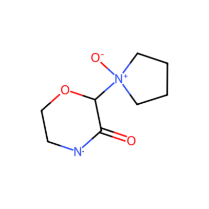 O=C1[N]CCOC1[N+]1([O-])CCCC1